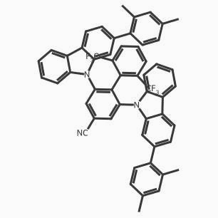 Cc1ccc(-c2ccc3c4ccccc4n(-c4cc(C#N)cc(-n5c6ccccc6c6ccc(-c7ccc(C)cc7C)cc65)c4-c4c(C(F)(F)F)cccc4C(F)(F)F)c3c2)c(C)c1